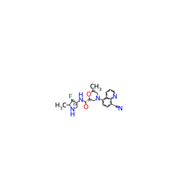 CC1NC[C@H](NC(=O)[C@H]2CN(c3ccc(C#N)c4ncccc34)C[C@@H](C)O2)[C@@H]1F